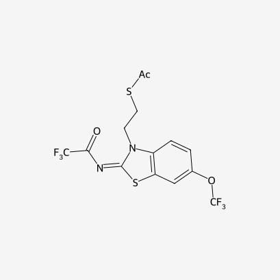 CC(=O)SCCn1c(=NC(=O)C(F)(F)F)sc2cc(OC(F)(F)F)ccc21